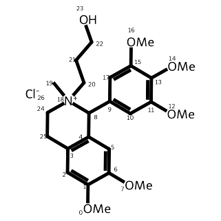 COc1cc2c(cc1OC)C(c1cc(OC)c(OC)c(OC)c1)[N+](C)(CCCO)CC2.[Cl-]